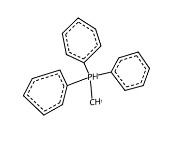 [CH][PH](c1ccccc1)(c1ccccc1)c1ccccc1